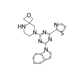 c1ccc2c(c1)ccn2-c1nc(-c2nccs2)nc(N2CCNC3(COC3)C2)n1